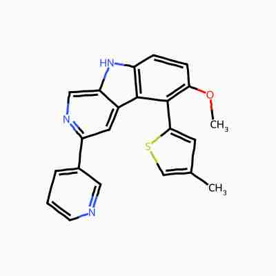 COc1ccc2[nH]c3cnc(-c4cccnc4)cc3c2c1-c1cc(C)cs1